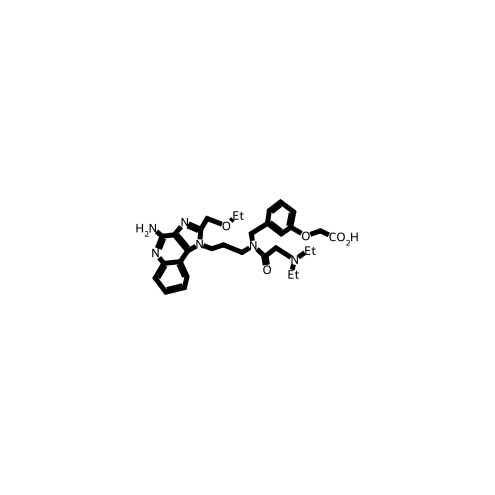 CCOCc1nc2c(N)nc3ccccc3c2n1CCCN(Cc1cccc(OCC(=O)O)c1)C(=O)CN(CC)CC